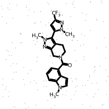 Cn1nc(C(F)(F)F)cc1-c1c2c(nn1C)CN(C(=O)c1cccc3c1ccn3C)CC2